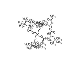 C=CC(=O)OCCOC(=O)NC1CC(C)(C)CC(C)(CNC(=O)OCC(CCC[Si](C)(O[Si](C)(C)C)O[Si](C)(C)C)(CCC[Si](C)(O[Si](C)(C)C)O[Si](C)(C)C)COC(=O)NC2CC(C)(C)CC(C)(C)C2)C1